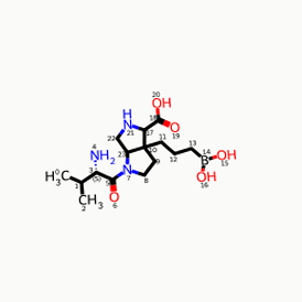 CC(C)[C@H](N)C(=O)N1CCC2(CCCB(O)O)C(C(=O)O)NCC12